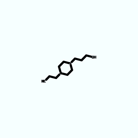 N#CCCN1CCN(CCCO)CC1